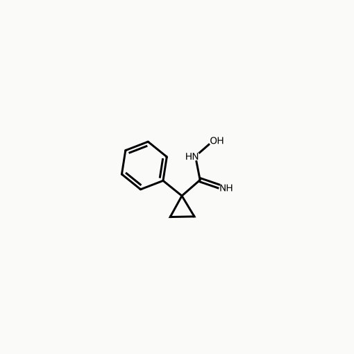 N=C(NO)C1(c2ccccc2)CC1